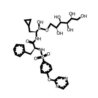 O=C(N[C@@H](CC1CC1)B(O)OC[C@@H](O)[C@@H](O)[C@H](O)[C@H](O)CO)[C@H](Cc1ccccc1)NS(=O)(=O)c1ccc(Oc2cnccn2)cc1